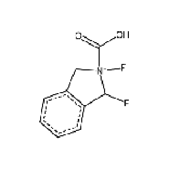 O=C(O)[N+]1(F)Cc2ccccc2C1F